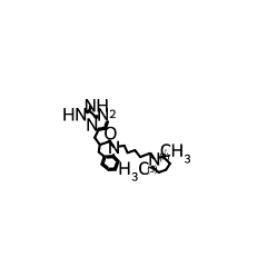 C[C@@H]1CCC[C@H](C)N1CCCCCN1C(=O)C(Cc2ccnc(C(=N)N)n2)Cc2ccccc21